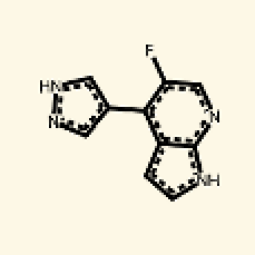 Fc1cnc2[nH]ccc2c1-c1cn[nH]c1